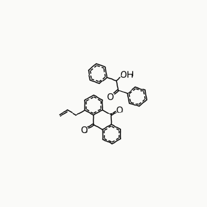 C=CCc1cccc2c1C(=O)c1ccccc1C2=O.O=C(c1ccccc1)C(O)c1ccccc1